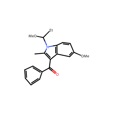 CCC(OC)n1c(C)c(C(=O)c2ccccc2)c2cc(OC)ccc21